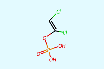 O=P(O)(O)OC(Cl)=CCl